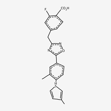 CC1=C[SH](c2ccc(-c3nc(Cc4ccc(C(=O)O)c(F)c4)no3)cc2C)C=C1